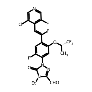 CCn1c(C=O)nn(-c2cc(O[C@@H](C)C(F)(F)F)c(/C(F)=C/c3c(F)cncc3Cl)cc2F)c1=O